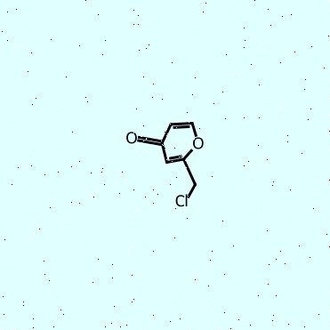 O=c1ccoc(CCl)c1